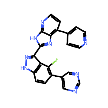 Fc1c(-c2cncnc2)ccc2[nH]nc(-c3nc4c(-c5ccncc5)ccnc4[nH]3)c12